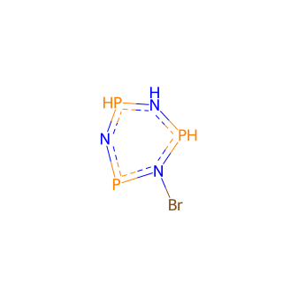 Brn1pn[pH][nH][pH]1